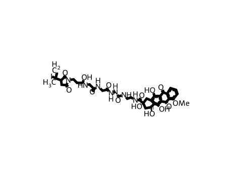 C=CC(C)(I)C1CC(=O)N(CCC(O)NCC(=O)NCC(=O)NNC(=O)NCCNC(=O)[C@]2(O)Cc3c(O)c4c(c(O)c3[C@@H](O)C2)C(=O)c2c(OC)cccc2C4=O)C1=O